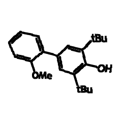 COc1ccccc1-c1cc(C(C)(C)C)c(O)c(C(C)(C)C)c1